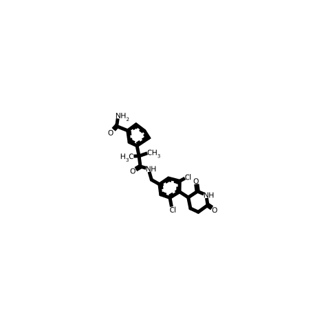 CC(C)(C(=O)NCc1cc(Cl)c(C2CCC(=O)NC2=O)c(Cl)c1)c1cccc(C(N)=O)c1